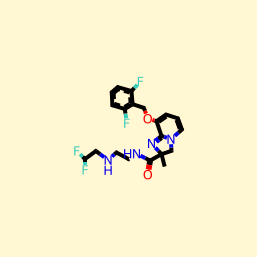 CC1(C(=O)NCCNCC(F)F)CN2C=CC=C(OCc3c(F)cccc3F)C2=N1